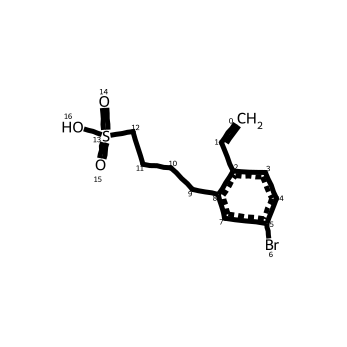 C=Cc1ccc(Br)cc1CCCCS(=O)(=O)O